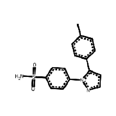 Cc1ccc(-c2ccnn2-c2ccc(S(N)(=O)=O)cc2)cc1